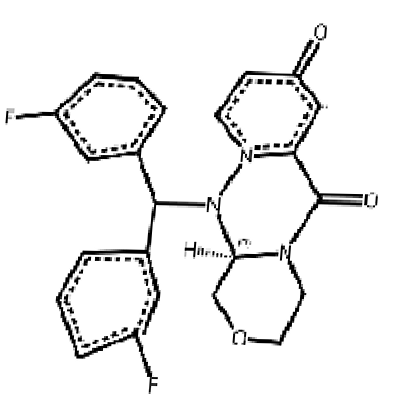 O=C1c2[c]c(=O)ccn2N(C(c2cccc(F)c2)c2cccc(F)c2)[C@@H]2COCCN12